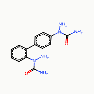 NC(=O)N(N)c1ccc(-c2ccccc2N(N)C(N)=O)cc1